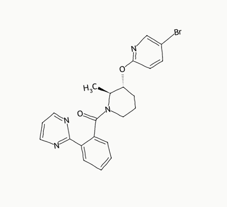 C[C@H]1[C@H](Oc2ccc(Br)cn2)CCCN1C(=O)c1ccccc1-c1ncccn1